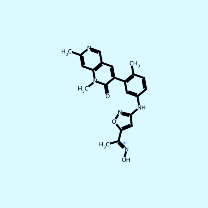 C/C(=N\O)c1cc(Nc2ccc(C)c(-c3cc4cnc(C)cc4n(C)c3=O)c2)no1